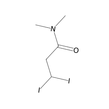 CN(C)C(=O)CC(I)I